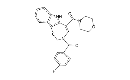 O=C(c1ccc(F)cc1)N1C=C(C(=O)N2CCOCC2)c2[nH]c3ccccc3c2CC1